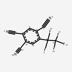 N#Cc1cc(C#N)c(C(F)(F)C(F)(F)F)cc1C#N